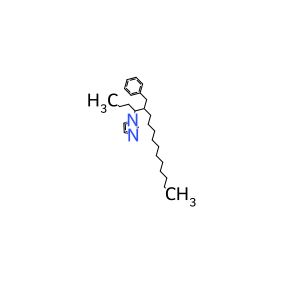 CCCCCCCCCCCC(Cc1ccccc1)C(CCC)n1ccnc1